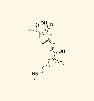 CNCCCC[C@H](N)C(O)OCC(=O)C[C@H](NC(C)=O)C(=O)O